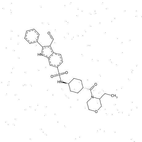 CCC1COCCN1C(=O)[C@H]1CC[C@H](NS(=O)(=O)c2ccc3c(C=O)c(-c4ccccc4)[nH]c3c2)CC1